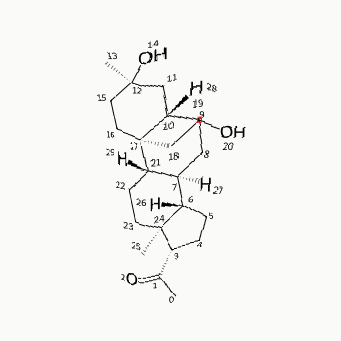 CC(=O)[C@H]1CC[C@H]2[C@@H]3CC[C@H]4C[C@](C)(O)CC[C@]4(CCO)[C@H]3CC[C@]12C